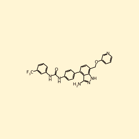 Nc1n[nH]c2c(COc3cccnc3)ccc(-c3ccc(NC(=O)Nc4cccc(C(F)(F)F)c4)cc3)c12